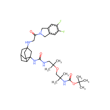 CC(C)(COC(C)(C)CNC(=O)NC12CC3CC1CC(NCC(=O)N1Cc4cc(F)c(F)cc4C1)(C3)C2)NC(=O)OC(C)(C)C